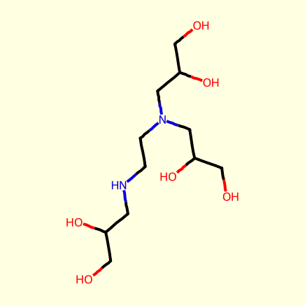 OCC(O)CNCCN(CC(O)CO)CC(O)CO